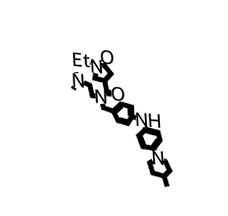 CCN1CC(C(=O)N(CCN(C)C)Cc2ccc(Nc3ccc(N4CCC(C)CC4)cc3)cc2)CC1=O